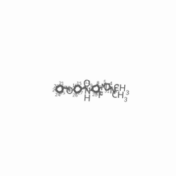 CN(C)[C@@H]1CCN(c2ccc(NC(=O)c3ccc(OCc4ccccc4)cc3)cc2F)C1